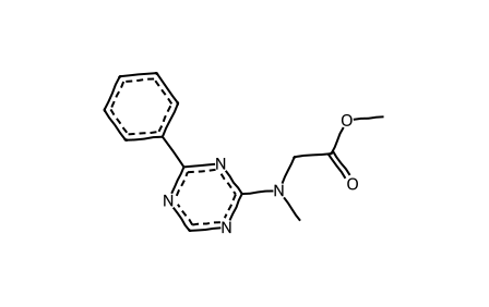 COC(=O)CN(C)c1ncnc(-c2ccccc2)n1